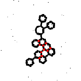 Cc1cccc(-c2ccccc2)c1Oc1c(C)cccc1-c1ccccc1N(c1ccc(C2=CCCC(c3ccccc3)C(c3ccccc3)=C2)cc1)c1ccc(-c2ccccc2)cc1